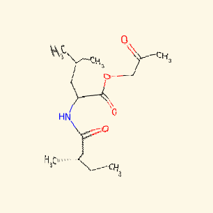 CC[C@H](C)C(=O)NC(CC(C)C)C(=O)OCC(C)=O